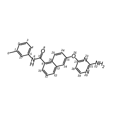 Cc1cccc(NC(=O)c2cccc3cc(Oc4ccnc(N)n4)ccc23)c1